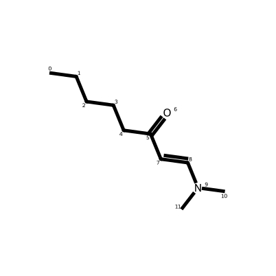 CCCCCC(=O)C=CN(C)C